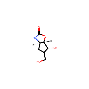 O=C1N[C@@H]2CC(CO)[C@@H](O)[C@@H]2O1